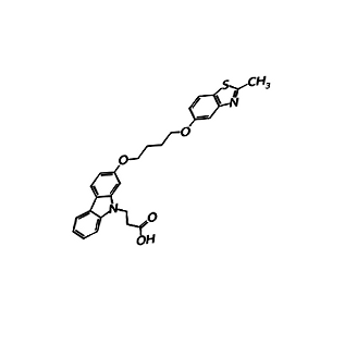 Cc1nc2cc(OCCCCOc3ccc4c5ccccc5n(CCC(=O)O)c4c3)ccc2s1